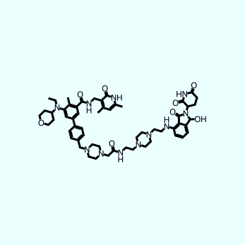 CCN(c1cc(-c2ccc(CN3CCN(CC(=O)NCCN4CCN(CCNc5cccc6c5C(=O)N(C5CCC(=O)NC5=O)C6O)CC4)CC3)cc2)cc(C(=O)NCc2c(C)cc(C)[nH]c2=O)c1C)C1CCOCC1